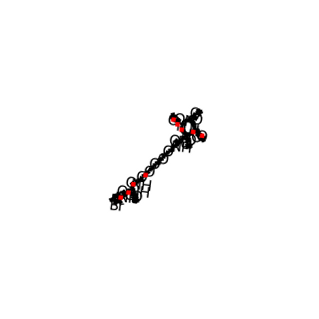 Cc1cc(C)c(NC(=O)CC[C@H](NC(=O)OC(C)(C)C)C(=O)NCCOCCOCCOCCOCCOCCNC(=O)CCC(C(=O)OC(C)(C)C)N2CCN(CC(=O)OC(C)(C)C)CCN(CC(=O)OC(C)(C)C)CCN(CC(=O)OC(C)(C)C)CC2)c(C)c1Br